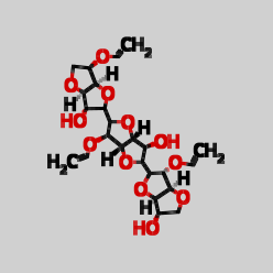 C=CO[C@@H]1CO[C@H]2[C@@H]1OC(C1O[C@H]3[C@H](OC(C4O[C@H]5[C@H](OC[C@H]5O)[C@H]4OC=C)[C@@H]3O)[C@H]1OC=C)[C@H]2O